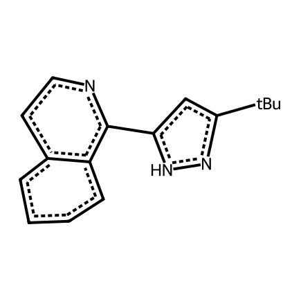 CC(C)(C)c1cc(-c2nccc3ccccc23)[nH]n1